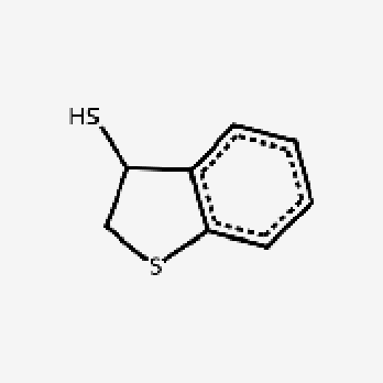 SC1CSc2ccccc21